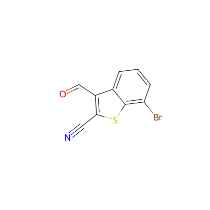 N#Cc1sc2c(Br)cccc2c1C=O